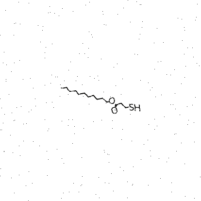 CCCCCCCCCCCOC(=O)CCS